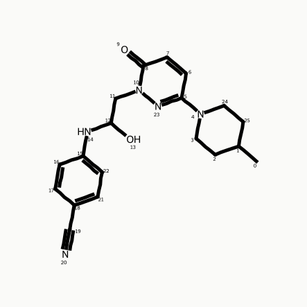 CC1CCN(c2ccc(=O)n(CC(O)Nc3ccc(C#N)cc3)n2)CC1